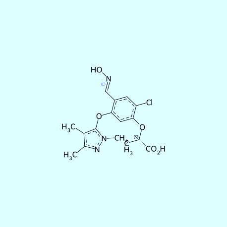 Cc1nn(C)c(Oc2cc(O[C@@H](C)C(=O)O)c(Cl)cc2/C=N/O)c1C